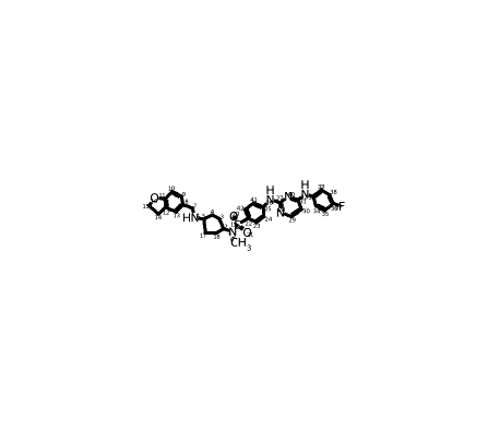 CN(C1CCC(NCc2ccc3c(c2)CCO3)CC1)S(=O)(=O)c1ccc(Nc2nccc(Nc3ccc(F)cc3)n2)cc1